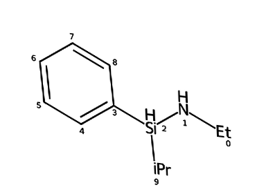 CCN[SiH](c1ccccc1)C(C)C